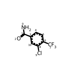 NC(=O)c1ccc(C(F)(F)F)c(Cl)c1